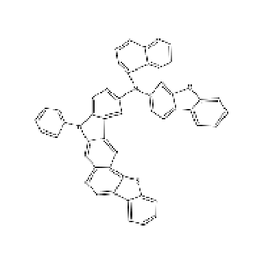 c1ccc(-n2c3ccc(N(c4ccc5c(c4)oc4ccccc45)c4cccc5ccccc45)cc3c3cc4c(ccc5c6ccccc6sc45)cc32)cc1